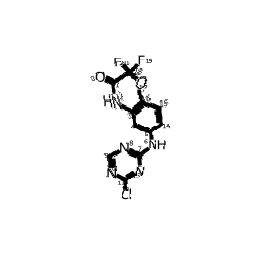 O=C1Nc2cc(Nc3ncnc(Cl)n3)ccc2OC1(F)F